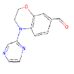 O=Cc1ccc2c(c1)OCCN2c1cnccn1